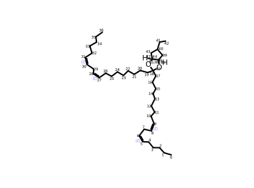 CCCCC/C=C\C/C=C\CCCCCCCCC1(CCCCCCCC/C=C\C/C=C\CCCCC)O[C@@H]2CC(CC)C[C@H]2O1